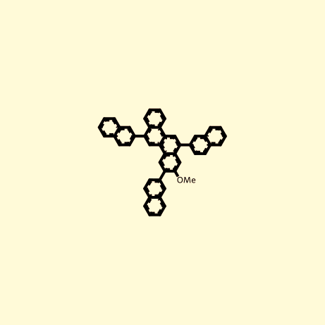 COc1cc2c(-c3ccc4ccccc4c3)cc3c4ccccc4c(-c4ccc5ccccc5c4)cc3c2cc1-c1ccc2ccccc2c1